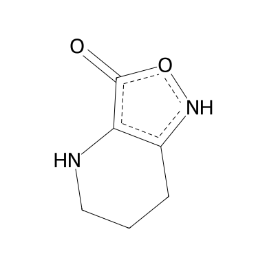 O=c1o[nH]c2c1NCCC2